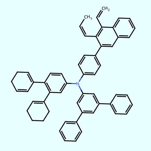 C=Cc1c(/C=C\C)c(-c2ccc(N(c3cc(-c4ccccc4)cc(-c4ccccc4)c3)c3ccc(C4=CCCC=C4)c(C4=CCCCC4)c3)cc2)cc2ccccc12